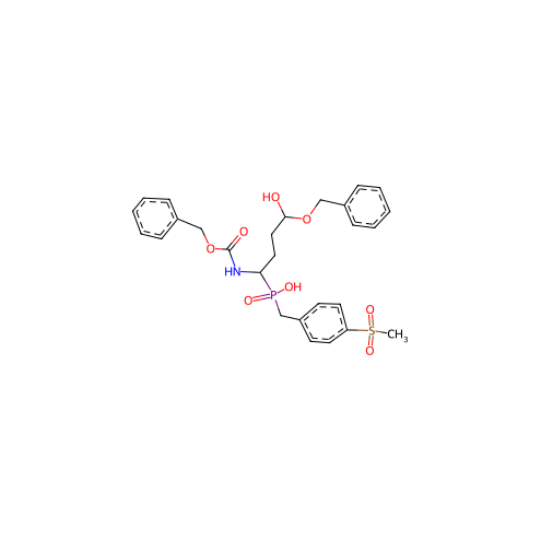 CS(=O)(=O)c1ccc(CP(=O)(O)C(CCC(O)OCc2ccccc2)NC(=O)OCc2ccccc2)cc1